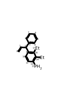 C=CC(c1ccccc1)c1ccc(P)c(CC)c1CC